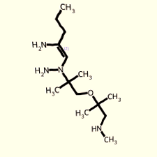 CCC/C(N)=C/N(N)C(C)(C)COC(C)(C)CNC